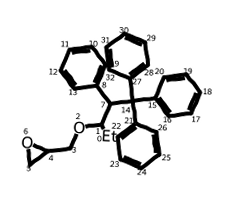 CCC(OCC1CO1)C(c1ccccc1)C(c1ccccc1)(c1ccccc1)c1ccccc1